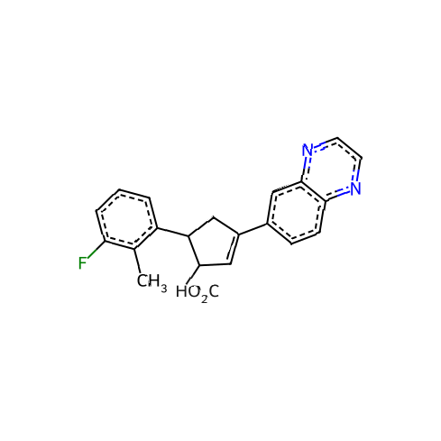 Cc1c(F)cccc1C1CC(c2ccc3nccnc3c2)=CC1C(=O)O